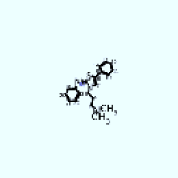 CN(C)CCCn1cc(-c2ccccc2)s/c1=N/c1ccccc1